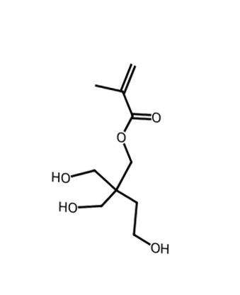 C=C(C)C(=O)OCC(CO)(CO)CCO